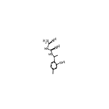 Cc1ccc(C(C)NC(=N)NC(=N)N)c(S)c1